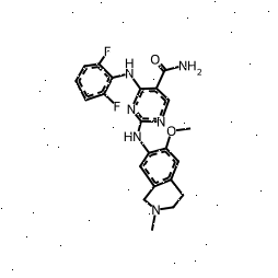 COc1cc2c(cc1Nc1ncc(C(N)=O)c(Nc3c(F)cccc3F)n1)CN(C)CC2